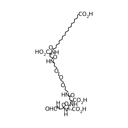 O=CNCC(=O)N[C@@H](CC(=O)O)C(=O)N[C@@H](CC(=O)NCCCOCCOCCOCCCNC(=O)C[C@H](NC(=O)CCCCCCCCCCCCCCCCC(=O)O)C(=O)O)C(=O)O